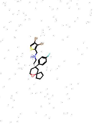 Fc1ccc([C@]2(CCNCc3scc(Br)c3Br)CCOC3(CCCC3)C2)cc1